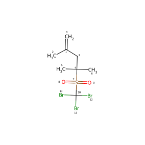 C=C(C)CC(C)(C)S(=O)(=O)C(Br)(Br)Br